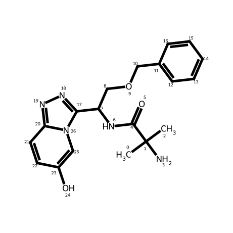 CC(C)(N)C(=O)NC(COCc1ccccc1)c1nnc2ccc(O)cn12